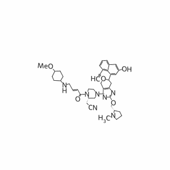 C#Cc1cccc2cc(O)cc(C3Cc4nc(OC[C@@H]5CCCN5C)nc(N5CCN(C(=O)/C=C/CNC6CCC(OC)CC6)[C@@H](CC#N)C5)c4CO3)c12